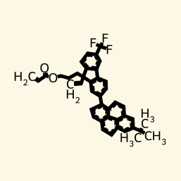 C=CC(=O)OCCCC1(C=C)c2ccc(C(F)(F)F)cc2-c2ccc(-c3ccc4ccc5cc(C(C)(C)C)cc6ccc3c4c56)cc21